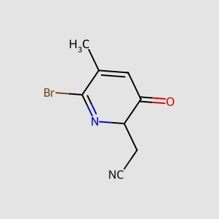 CC1=CC(=O)C(CC#N)N=C1Br